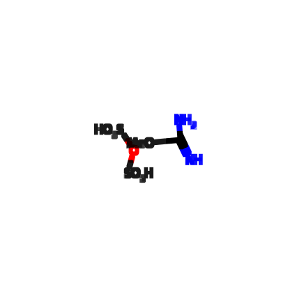 COC(=N)N.O=S(=O)(O)OS(=O)(=O)O